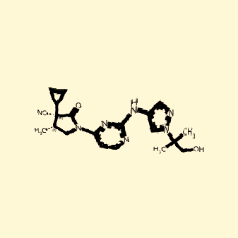 C[C@H]1CN(c2ccnc(Nc3cnn(C(C)(C)CO)c3)n2)C(=O)[C@]1(C#N)C1CC1